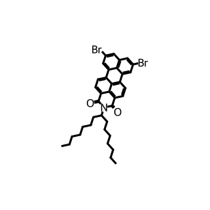 CCCCCCCC(CCCCCCC)N1C(=O)c2ccc3c4cc(Br)cc5cc(Br)cc(c6ccc(c2c36)C1=O)c54